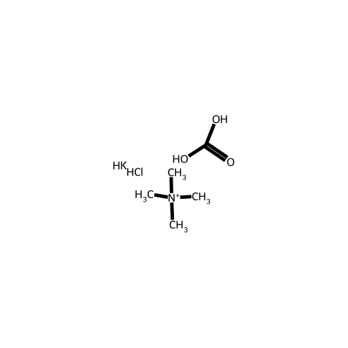 C[N+](C)(C)C.Cl.O=C(O)O.[KH]